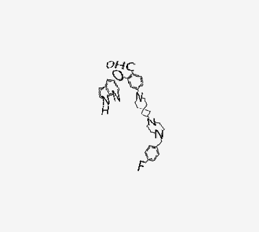 O=Cc1ccc(N2CCC3(CC2)CC(N2CCN(Cc4ccc(F)cc4)CC2)C3)cc1Oc1cnc2[nH]ccc2c1